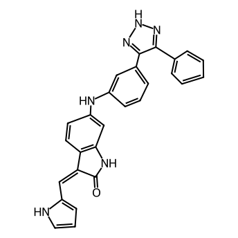 O=C1Nc2cc(Nc3cccc(-c4n[nH]nc4-c4ccccc4)c3)ccc2/C1=C/c1ccc[nH]1